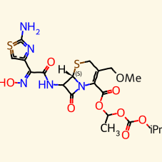 COCC1=C(C(=O)OC(C)OC(=O)OC(C)C)N2C(=O)C(NC(=O)C(=NO)c3csc(N)n3)[C@@H]2SC1